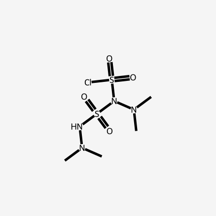 CN(C)NS(=O)(=O)N(N(C)C)S(=O)(=O)Cl